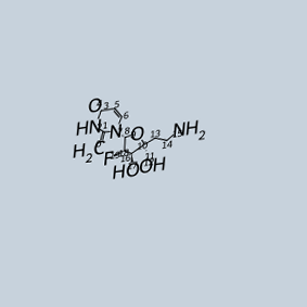 C=C1NC(=O)C=CN1[C@@H]1O[C@@](CO)(CCN)[C@@H](O)[C@H]1F